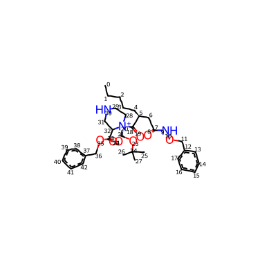 CCCCC[C@@H](CC(=O)NOCc1ccccc1)C(=O)[N@+]1(C(=O)OC(C)(C)C)CCNCC1C(=O)OCc1ccccc1